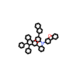 c1ccc(-c2c(-c3ccccc3)c3cc(-c4ccccc4N(c4cccc(-c5ccc6ccccc6c5)c4)c4ccc5c(c4)oc4ccccc45)ccc3c3ccccc23)cc1